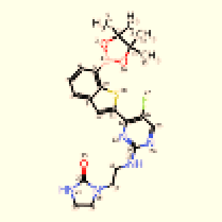 CC1(C)OB(c2cccc3cc(-c4nc(NCCN5CCNC5=O)ncc4F)sc23)OC1(C)C